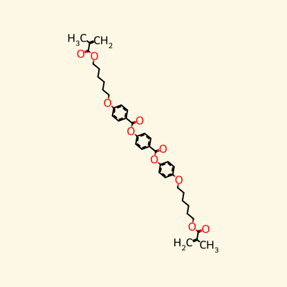 C=C(C)C(=O)OCCCCCCOc1ccc(OC(=O)c2ccc(OC(=O)c3ccc(OCCCCCCOC(=O)C(=C)C)cc3)cc2)cc1